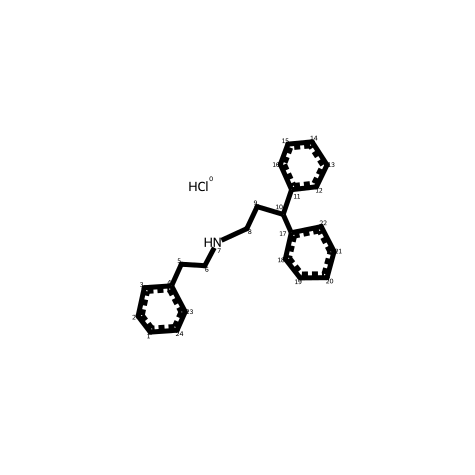 Cl.c1ccc(CCNCCC(c2ccccc2)c2ccccc2)cc1